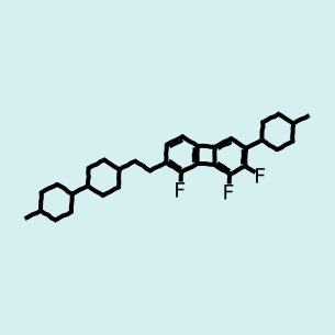 CC1CCC(c2cc3c(c(F)c2F)-c2c-3ccc(CCC3CCC(C4CCC(C)CC4)CC3)c2F)CC1